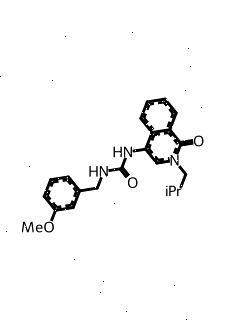 COc1cccc(CNC(=O)Nc2cn(CC(C)C)c(=O)c3ccccc23)c1